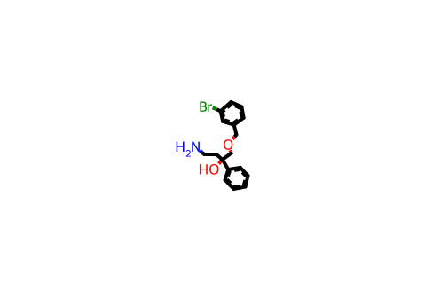 NCCC(O)(COCc1cccc(Br)c1)c1ccccc1